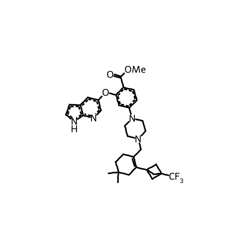 COC(=O)c1ccc(N2CCN(CC3=C(C45CC(C(F)(F)F)(C4)C5)CC(C)(C)CC3)CC2)cc1Oc1cnc2[nH]ccc2c1